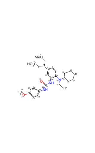 COCC(CC(=O)O)c1ccc(N(CC(C)C)C2CCCCC2)c(NC(=O)Nc2ccc(OC(F)(F)F)cc2)c1